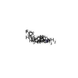 C[C@]12CCc3nc(Nc4cccc(F)c4)sc3C1=CC[C@@H]1[C@@H]2CC[C@]2(C)/C(=N/N)CC[C@@H]12